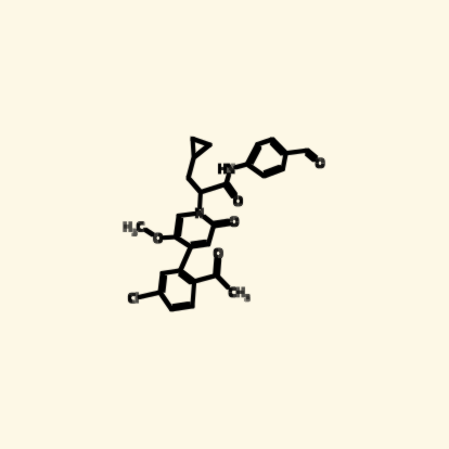 COc1cn(C(CC2CC2)C(=O)Nc2ccc(C=O)cc2)c(=O)cc1-c1cc(Cl)ccc1C(C)=O